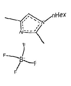 CCCCCCn1cc(C)nc1C.F[B-](F)(F)F